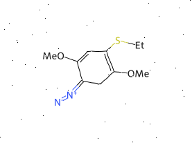 CCSC1=C(OC)CC(=[N+]=[N-])C(OC)=C1